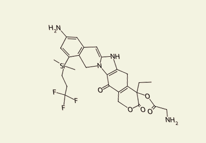 CCC1(OC(=O)CN)C(=O)OCC2=C1CC1=C(C2=O)N2Cc3c(cc(N)cc3[Si](C)(C)CCC(F)(F)F)C=C2N1